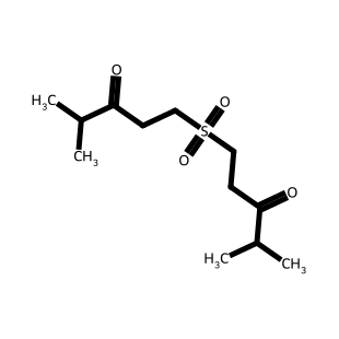 CC(C)C(=O)CCS(=O)(=O)CCC(=O)C(C)C